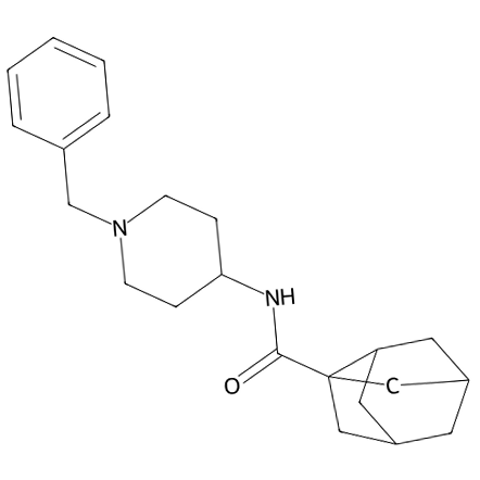 O=C(NC1CCN(Cc2ccccc2)CC1)C12CC3CC(CC1C3)C2